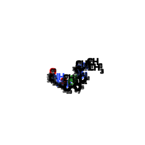 COc1nc(-c2cccc(-c3ccnc(-n4ccc(C)c4CNC(C)C)c3Cl)c2Cl)ccc1CNC[C@@H]1CCC(=O)N1